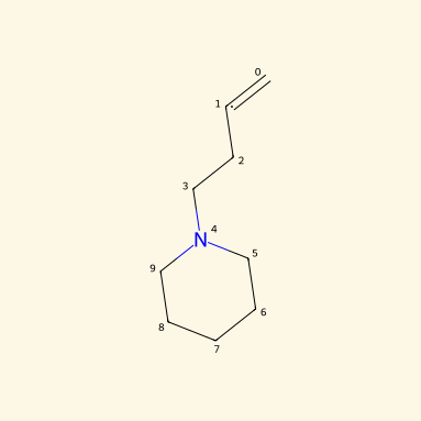 C=[C]CCN1CCCCC1